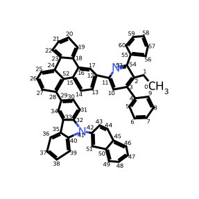 CCc1c(-c2ccccc2)cc(-c2ccc3c(c2)c2ccccc2c2cccc(-c4ccc5c(c4)c4ccccc4n5-c4ccc5ccccc5c4)c23)nc1-c1ccccc1